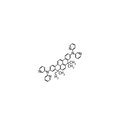 CC1(C)c2cc(N(c3cccnc3)c3ccccn3)ccc2-c2ccc3c4c(ccc1c24)C(C)(C)c1cc(N(c2cccnc2)c2ccccn2)ccc1-3